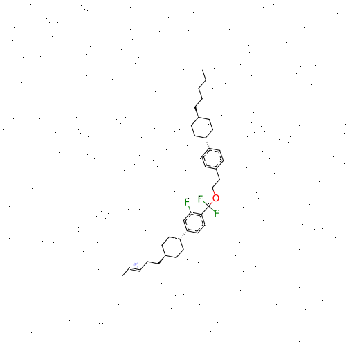 C/C=C/CC[C@H]1CC[C@H](c2ccc(C(F)(F)OCCc3ccc([C@H]4CC[C@H](CCCCC)CC4)cc3)c(F)c2)CC1